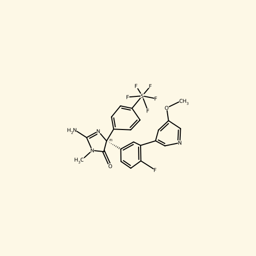 COc1cncc(-c2cc([C@@]3(c4ccc(S(F)(F)(F)(F)F)cc4)N=C(N)N(C)C3=O)ccc2F)c1